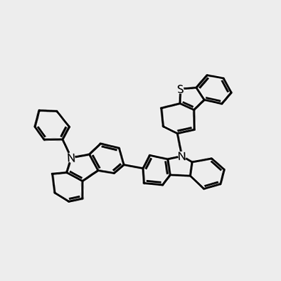 C1=CC2c3ccc(-c4ccc5c(c4)c4c(n5C5=CCCC=C5)CCC=C4)cc3N(C3=Cc4c(sc5ccccc45)CC3)C2C=C1